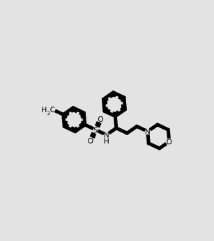 Cc1ccc(S(=O)(=O)NC(CCN2CCOCC2)c2ccccc2)cc1